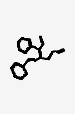 C=CC=CC(C=Cc1ccccc1)=C(C=C)c1ccccc1